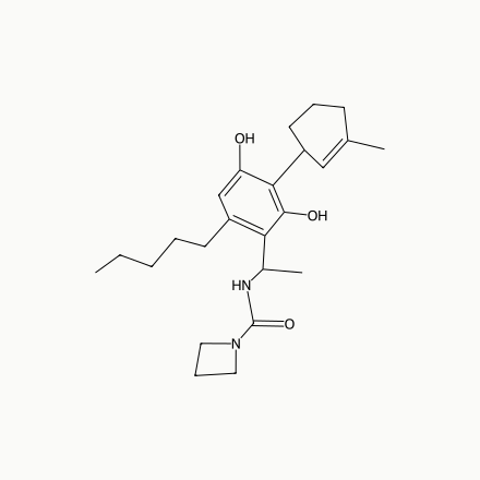 CCCCCc1cc(O)c(C2C=C(C)CCC2)c(O)c1C(C)NC(=O)N1CCC1